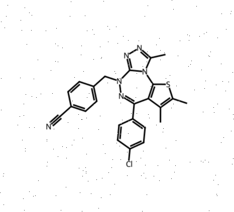 Cc1sc2c(c1C)C(c1ccc(Cl)cc1)=NN(Cc1ccc(C#N)cc1)c1nnc(C)n1-2